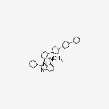 CN1c2c(-c3ccc(-c4ccc(-c5ccccc5)cc4)cc3)cccc2-n2c(-c3ccccc3)nc3cccc1c32